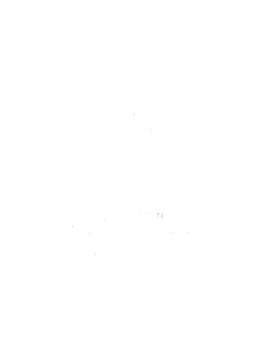 COC(=O)c1ccc2c3c(COC(C)=O)cccc3n(C(C)C)c2c1